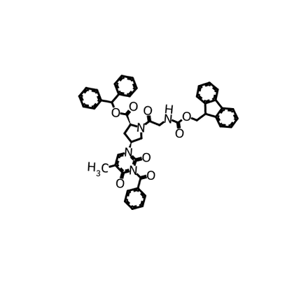 Cc1cn([C@H]2C[C@@H](C(=O)OC(c3ccccc3)c3ccccc3)N(C(=O)CNC(=O)OCC3c4ccccc4-c4ccccc43)C2)c(=O)n(C(=O)c2ccccc2)c1=O